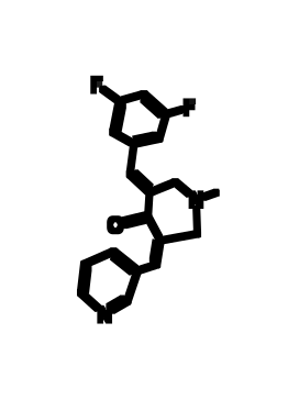 CN1CC(=Cc2cccnc2)C(=O)/C(=C/c2cc(F)cc(F)c2)C1